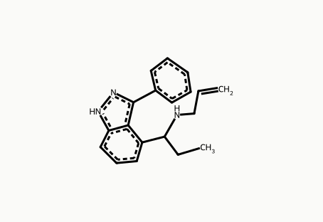 C=CCNC(CC)c1cccc2[nH]nc(-c3ccccc3)c12